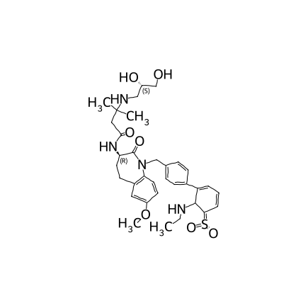 CCNC1C(c2ccc(CN3C(=O)[C@H](NC(=O)CC(C)(C)NC[C@H](O)CO)CCc4cc(OC)ccc43)cc2)=CC=CC1=S(=O)=O